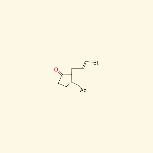 CCC=CCC1C(=O)CCC1CC(C)=O